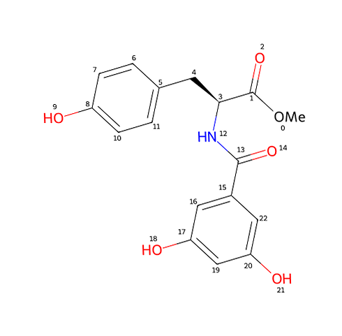 COC(=O)[C@H](Cc1ccc(O)cc1)NC(=O)c1cc(O)cc(O)c1